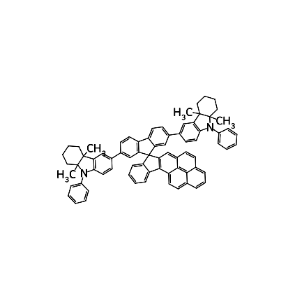 CC12CCCCC1(C)N(c1ccccc1)c1ccc(-c3ccc4c(c3)C3(c5cc(-c6ccc7c(c6)C6(C)CCCCC6(C)N7c6ccccc6)ccc5-4)c4ccccc4-c4c3cc3ccc5cccc6ccc4c3c56)cc12